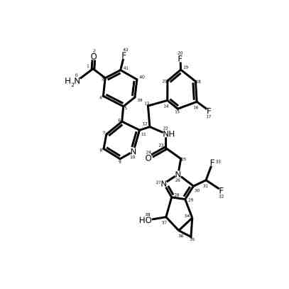 NC(=O)c1cc(-c2cccnc2C(Cc2cc(F)cc(F)c2)NC(=O)Cn2nc3c(c2C(F)F)C2CC2C3O)ccc1F